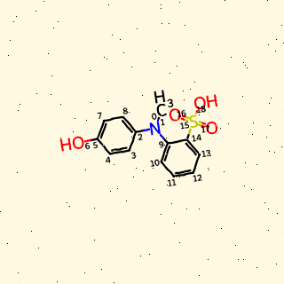 CN(c1ccc(O)cc1)c1ccccc1S(=O)(=O)O